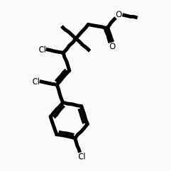 COC(=O)CC(C)(C)C(Cl)C=C(Cl)c1ccc(Cl)cc1